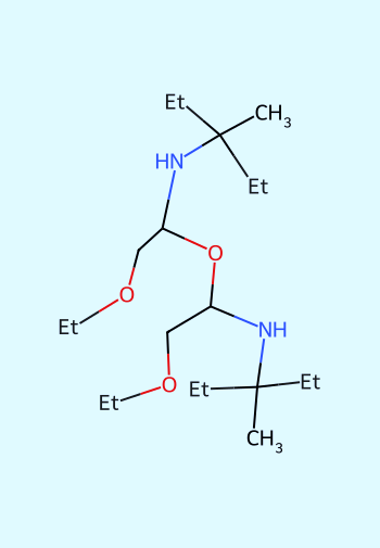 CCOCC(NC(C)(CC)CC)OC(COCC)NC(C)(CC)CC